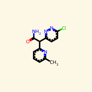 Cc1cccc(C(C(N)=O)c2ccc(Cl)nn2)n1